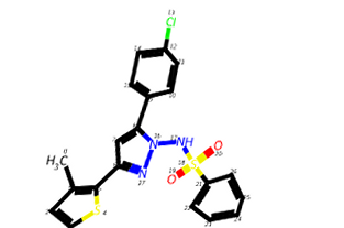 Cc1ccsc1-c1cc(-c2ccc(Cl)cc2)n(NS(=O)(=O)c2ccccc2)n1